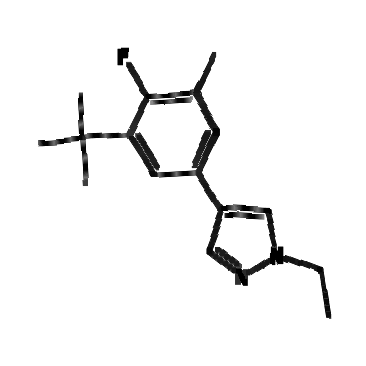 CCn1cc(-c2cc(C)c(F)c(C(C)(C)C)c2)cn1